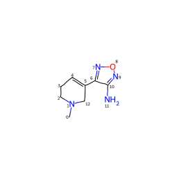 CN1CCC=C(c2nonc2N)C1